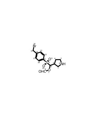 O=COC(C1CCNC1)S(=O)(=O)c1ccc(CBr)cc1